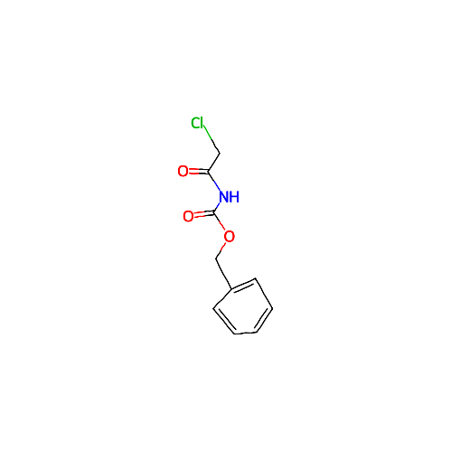 O=C(CCl)NC(=O)OCc1ccccc1